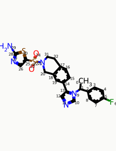 CC(c1ccc(F)cc1)n1cncc1-c1ccc2c(c1)CN(S(=O)(=O)c1cnc(N)s1)CC2